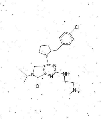 CC(C)N1Cc2c(nc(NCCN(C)C)nc2N2CCCC2Cc2ccc(Cl)cc2)C1=O